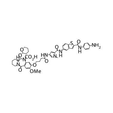 COc1cc2c(cc1OCCCC(=O)Nc1cc(C(=O)Nc3ccc4sc(C(=O)Nc5ccc(N)cc5)cc4c3)n(C)c1)N(C(=O)O)C(OC1CCCCO1)[C@@H]1CCCCN1C2=O